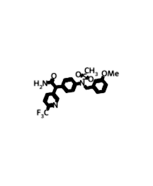 COc1cccc(CN(c2ccc(C(C(N)=O)c3ccc(C(F)(F)F)nc3)cc2)S(C)(=O)=O)c1